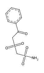 NS(=O)(=O)CS(=O)(=O)CC(=O)c1ccccc1